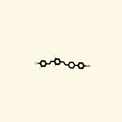 CCCc1ccc(C2CCC(CCc3cc(F)c(CCc4ccc(Cl)c(F)c4)c(F)c3)CC2)cc1